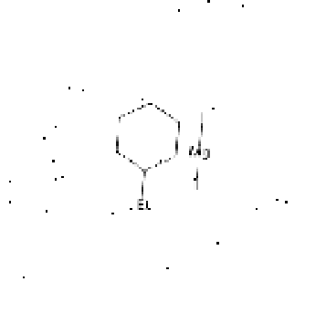 [CH2]CC1CCCCC1.[I][Mg][I]